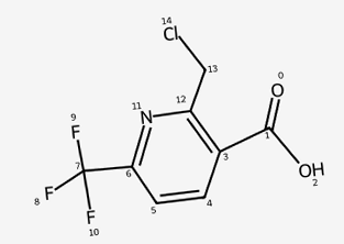 O=C(O)c1ccc(C(F)(F)F)nc1CCl